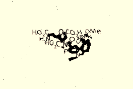 C#CCN(Cc1ccc2nc(OC)[nH]c(=O)c2c1)c1ccc(C(=O)N(C)[C@@](CCC(=O)O)(C(=O)O)C(=O)CC[C@H](N)C(=O)O)c(F)c1